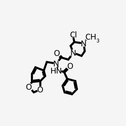 CN1CCN(CC(=O)N(Cc2ccc3c(c2)OCO3)NC(=O)c2ccccc2)CC1Cl